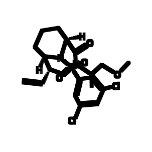 C=C[C@H]1CN(C(C)COC)C(=O)[C@@H]2CCC[C@H]1N2S(=O)(=O)c1cc(Cl)cc(Cl)c1